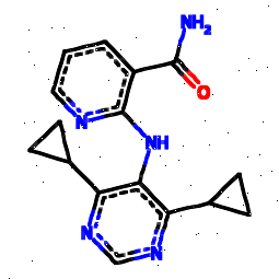 NC(=O)c1cccnc1Nc1c(C2CC2)ncnc1C1CC1